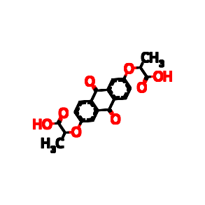 CC(Oc1ccc2c(c1)C(=O)c1ccc(OC(C)C(=O)O)cc1C2=O)C(=O)O